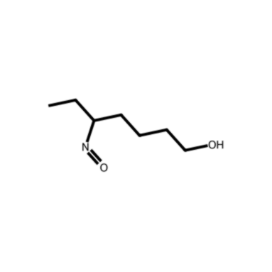 CCC(CCCCO)N=O